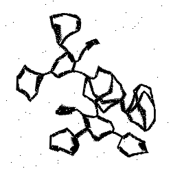 C#Cc1c(-c2ccccc2)cc(-c2ccccc2)cc1C12CC3CC(c4cc(-c5ccccc5)cc(-c5ccccc5)c4C#C)(C1)CC(C14CC5CC(CC(C5)C1)C4)(C3)C2